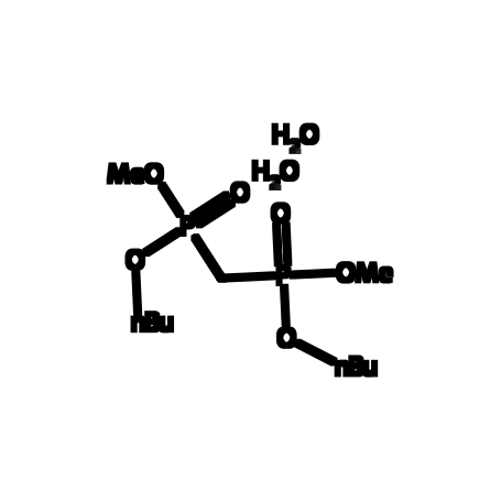 CCCCOP(=O)(CP(=O)(OC)OCCCC)OC.O.O